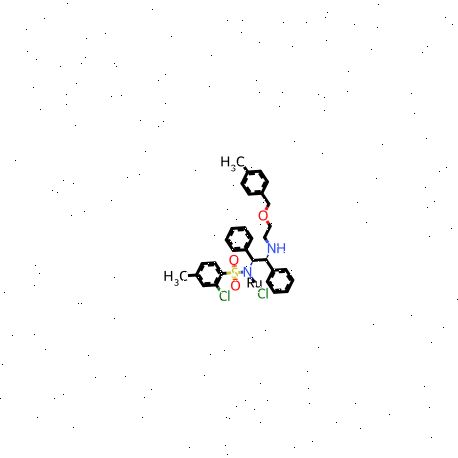 Cc1ccc(COCCN[C@H](c2ccccc2)[C@@H](c2ccccc2)[N]([Ru][Cl])S(=O)(=O)c2ccc(C)cc2Cl)cc1